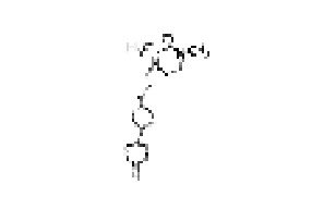 C[C@@H]1C(=O)N(C)CCN1CCOc1ccc(C2CCNCC2)cc1